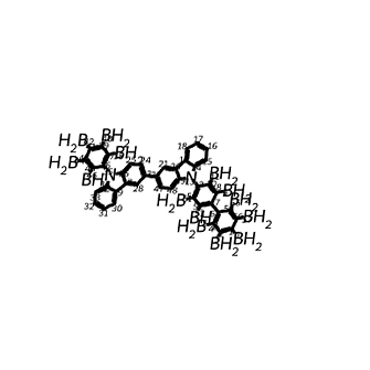 Bc1c(B)c(B)c(-c2c(B)c(B)c(-n3c4ccccc4c4cc(-c5ccc6c(c5)c5ccccc5n6-c5c(B)c(B)c(B)c(B)c5B)ccc43)c(B)c2B)c(B)c1B